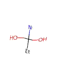 CCC([N])(O)O